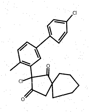 Cc1ccc(-c2ccc(Cl)cc2)cc1C1(Cl)C(=O)CC2(CCCCC2)C1=O